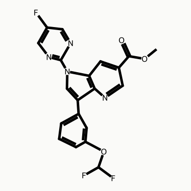 COC(=O)c1cnc2c(-c3cccc(OC(F)F)c3)cn(-c3ncc(F)cn3)c2c1